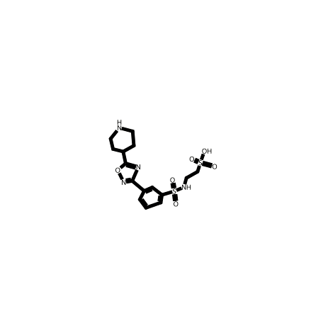 O=S(=O)(O)CCNS(=O)(=O)c1cccc(-c2noc(C3CCNCC3)n2)c1